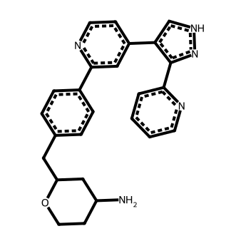 NC1CCOC(Cc2ccc(-c3cc(-c4c[nH]nc4-c4ccccn4)ccn3)cc2)C1